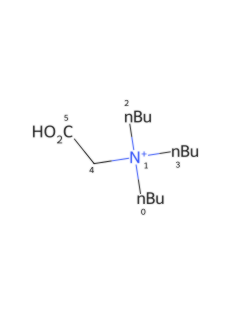 CCCC[N+](CCCC)(CCCC)CC(=O)O